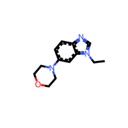 CCn1cnc2ccc(N3CCOCC3)cc21